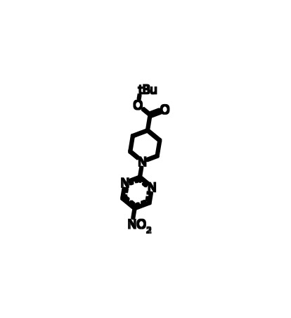 CC(C)(C)OC(=O)C1CCN(c2ncc([N+](=O)[O-])cn2)CC1